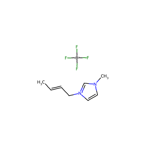 CC=CC[n+]1ccn(C)c1.F[B-](F)(F)F